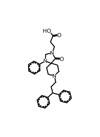 O=C(O)CCN1CN(c2ccccc2)C2(CCN(CCC(c3ccccc3)c3ccccc3)CC2)C1=O